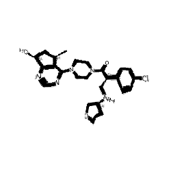 C[C@@H]1C[C@H](O)c2ncnc(N3CCN(C(=O)[C@H](CN[C@H]4CCOC4)c4ccc(Cl)cc4)CC3)c21